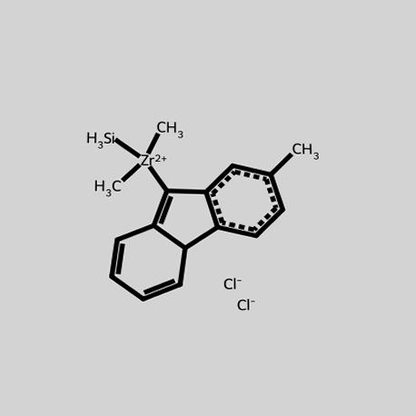 Cc1ccc2c(c1)[C]([Zr+2]([CH3])([CH3])[SiH3])=C1C=CC=CC12.[Cl-].[Cl-]